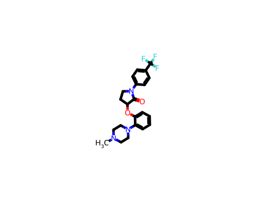 CN1CCN(c2ccccc2OC2CCN(c3ccc(C(F)(F)F)cc3)C2=O)CC1